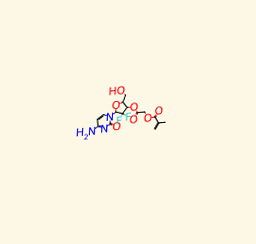 C=C(C)C(=O)OCC(=O)OC1C(CO)OC(n2ccc(N)nc2=O)C1(F)F